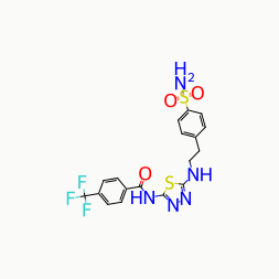 NS(=O)(=O)c1ccc(CCNc2nnc(NC(=O)c3ccc(C(F)(F)F)cc3)s2)cc1